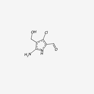 Nc1[nH]c(C=O)c(Cl)c1CO